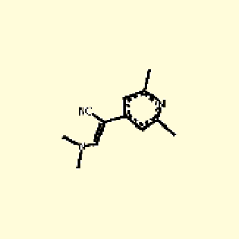 Cc1cc(C(C#N)=CN(C)C)cc(C)n1